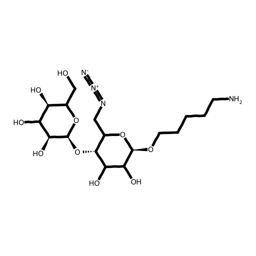 [N-]=[N+]=NCC1O[C@@H](OCCCCCN)C(O)C(O)[C@@H]1O[C@@H]1OC(CO)[C@H](O)C(O)[C@@H]1O